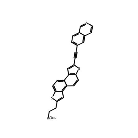 CCCCCCCCCCCCc1cc2c(ccc3c4cc(C#Cc5ccc6cnccc6c5)sc4ccc23)s1